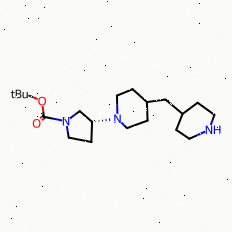 CC(C)(C)OC(=O)N1CC[C@@H](N2CCC(CC3CCNCC3)CC2)C1